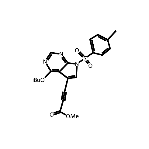 COC(=O)C#Cc1cn(S(=O)(=O)c2ccc(C)cc2)c2ncnc(OCC(C)C)c12